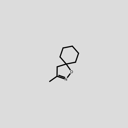 CC1=NOC2(CCCCC2)C1